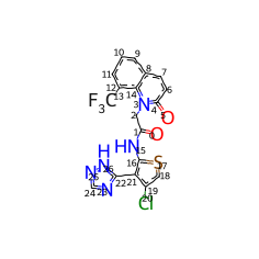 O=C(Cn1c(=O)ccc2cccc(C(F)(F)F)c21)Nc1scc(Cl)c1-c1ncn[nH]1